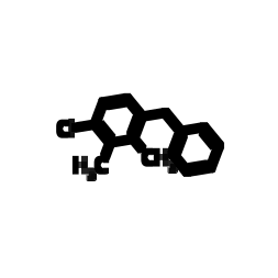 Cc1c(Cl)ccc(Cc2ccccc2)c1C